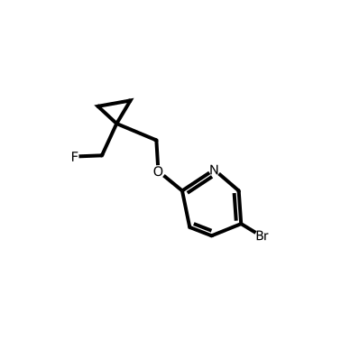 FCC1(COc2ccc(Br)cn2)CC1